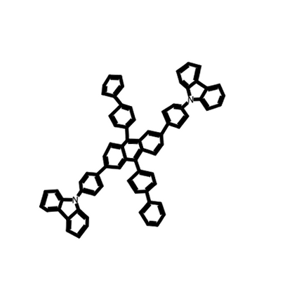 c1ccc(-c2ccc(-c3c4ccc(-c5ccc(-n6c7ccccc7c7ccccc76)cc5)cc4c(-c4ccc(-c5ccccc5)cc4)c4ccc(-c5ccc(-n6c7ccccc7c7ccccc76)cc5)cc34)cc2)cc1